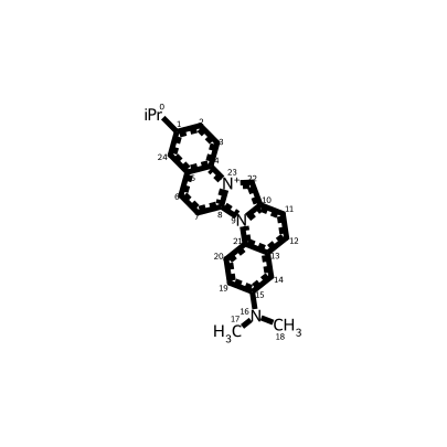 CC(C)c1ccc2c(ccc3n4c(ccc5cc(N(C)C)ccc54)c[n+]23)c1